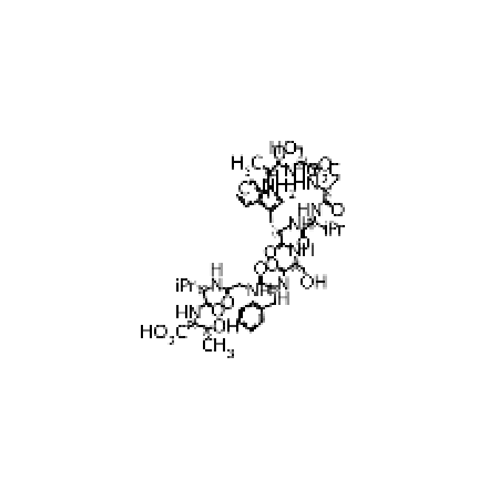 CC(C)[C@H](NC(=O)CNC(=O)[C@H](Cc1ccccc1)NC(=O)[C@H](CO)NC(=O)[C@H](Cc1c[nH]c2ccccc12)NC(=O)[C@@H](NC(=O)[C@H](CC(=O)O)NC(=O)[C@H](CO)NC(=O)[C@H](C)N)C(C)C)C(=O)N[C@H](C(=O)O)[C@@H](C)O